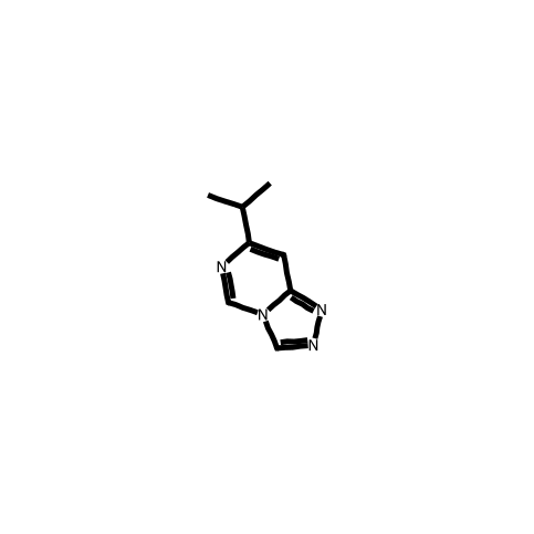 CC(C)c1cc2nncn2cn1